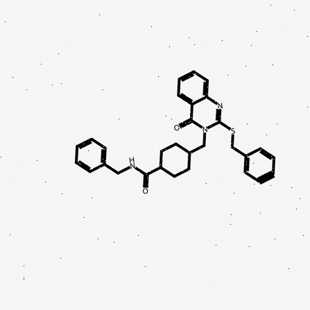 O=C(NCc1ccccc1)C1CCC(Cn2c(SCc3cc#ccc3)nc3ccccc3c2=O)CC1